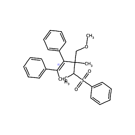 COCC(C)(/C(=C(\C)c1ccccc1)c1ccccc1)C(C)S(=O)(=O)c1ccccc1